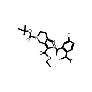 CCOC(=O)c1c2c(nn1C(C)c1cc(F)ccc1C(F)F)CCN(C(=O)OC(C)(C)C)C2